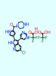 O=C(O)C(F)(F)F.O=C(O)C(F)(F)F.O=C(c1cc(-c2[nH]c3ncc(Cl)cc3c2-c2cncnc2)c[nH]1)N1CCNCC1